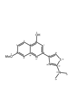 COc1ccc2c(O)cc(-c3csc(N(C)C)n3)nc2c1